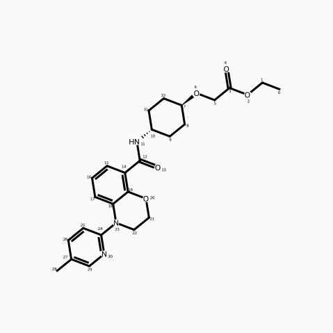 CCOC(=O)CO[C@H]1CC[C@H](NC(=O)c2cccc3c2OCCN3c2ccc(C)cn2)CC1